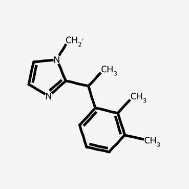 [CH2]n1ccnc1C(C)c1cccc(C)c1C